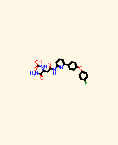 NC(=O)C(CC(=O)Nc1cccc(-c2ccc(Oc3ccc(F)cc3)cc2)n1)NC(=O)O